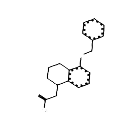 NC(=O)CC1CCCc2c(OCc3ccccc3)cccc21